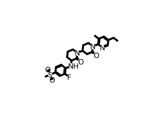 CCc1cnc(N2CCC(N3CCCC(Nc4ccc(S(C)(=O)=O)cc4F)C3=O)CC2=O)c(C)c1